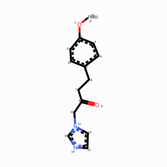 CCCCOc1ccc(CCC(=O)Cn2ccnc2)cc1